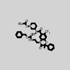 CC(C)N(C(=O)c1cc2c(cc1C(F)(F)F)OC(C)(c1ccccc1)C(=O)N2CCNC(=O)OCc1ccccc1)[C@@H]1CCCN(OC(=O)C(C)(C)C)C1